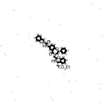 CCOC(=O)C[C@H](NC(=O)CN1C[C@@H](c2ccccc2)Oc2ccc(NC(=O)NCc3ccccc3)cc2C1=O)c1ccccc1